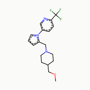 COCC1CCN(Cc2cccn2-c2ccc(C(F)(F)F)nc2)CC1